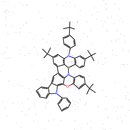 CC(C)(C)c1ccc(N2c3cc(C(C)(C)C)ccc3B3c4c(cc(C(C)(C)C)cc42)-c2cc4c5ccccc5n(-c5ccccc5)c4c4c2N3c2ccc(C(C)(C)C)cc2O4)cc1